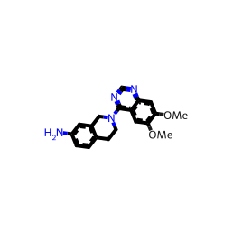 COc1cc2ncnc(N3CCc4ccc(N)cc4C3)c2cc1OC